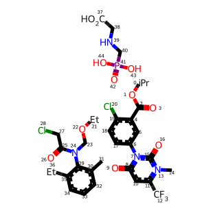 CC(C)OC(=O)c1cc(-n2c(=O)cc(C(F)(F)F)n(C)c2=O)ccc1Cl.CCOCN(C(=O)CCl)c1c(C)cccc1CC.O=C(O)CNCP(=O)(O)O